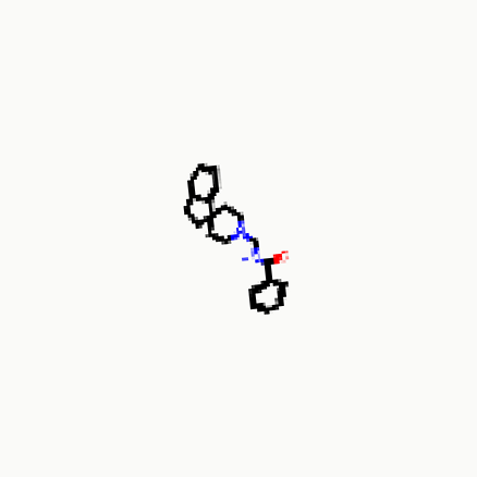 O=C(NCN1CCC2(CCc3ccccc32)CC1)c1ccccc1